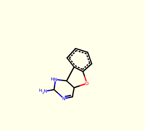 NC1N=CC2Oc3ccccc3C2N1